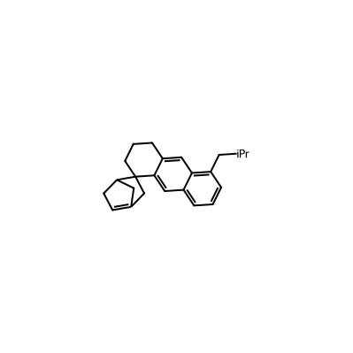 CC(C)Cc1cccc2cc3c(cc12)CCCC31CC2=CCC1C2